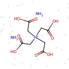 N.N.O=C(O)C[N+](CC(=O)O)(CC(=O)O)CC(=O)O